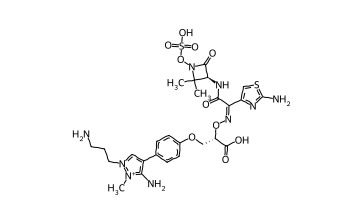 C[n+]1c(N)c(-c2ccc(OC[C@H](O/N=C(\C(=O)N[C@@H]3C(=O)N(OS(=O)(=O)O)C3(C)C)c3csc(N)n3)C(=O)O)cc2)cn1CCCN